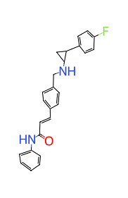 O=C(/C=C/c1ccc(CNC2CC2c2ccc(F)cc2)cc1)Nc1ccccc1